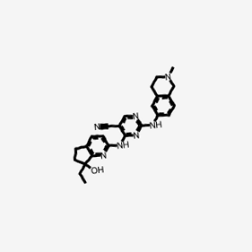 CCC1(O)CCc2ccc(Nc3nc(Nc4ccc5c(c4)CCN(C)C5)ncc3C#N)nc21